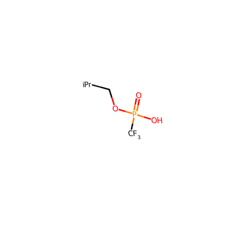 CC(C)COP(=O)(O)C(F)(F)F